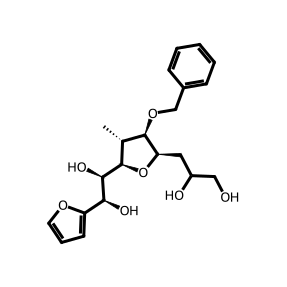 C[C@H]1[C@H]([C@H](O)[C@@H](O)c2ccco2)O[C@H](CC(O)CO)[C@@H]1OCc1ccccc1